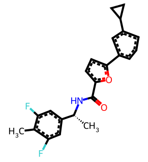 Cc1c(F)cc([C@@H](C)NC(=O)c2ccc(-c3cccc(C4CC4)c3)o2)cc1F